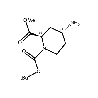 COC(=O)[C@H]1C[C@H](N)CCN1C(=O)OC(C)(C)C